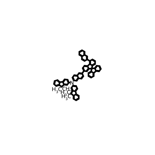 CC1(C)c2ccccc2-c2ccc(N(c3ccc4c(c3)C(C)(C)c3ccccc3-4)c3ccc4cc(-c5ccc6c(c5)C5(c7ccccc7-c7ccccc75)c5cccc(-c7ccc8ccccc8c7)c5-6)ccc4c3)cc21